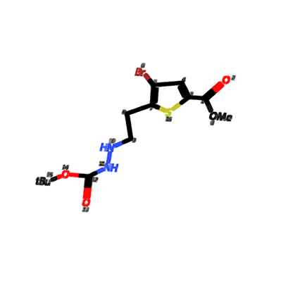 COC(=O)c1cc(Br)c(CCNNC(=O)OC(C)(C)C)s1